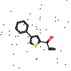 CNC(=O)c1cc(-c2ccccc2)cs1